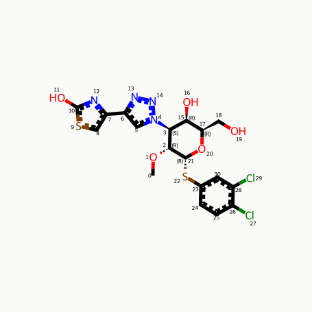 CO[C@@H]1[C@@H](n2cc(-c3csc(O)n3)nn2)[C@@H](O)[C@@H](CO)O[C@@H]1Sc1ccc(Cl)c(Cl)c1